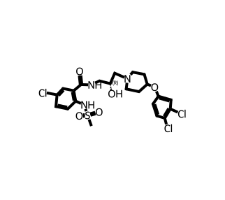 CS(=O)(=O)Nc1ccc(Cl)cc1C(=O)NC[C@@H](O)CN1CCC(Oc2ccc(Cl)c(Cl)c2)CC1